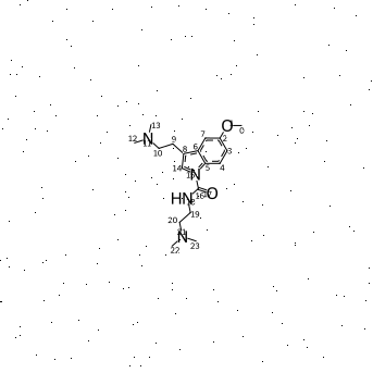 COc1ccc2c(c1)c(CCN(C)C)cn2C(=O)NCCN(C)C